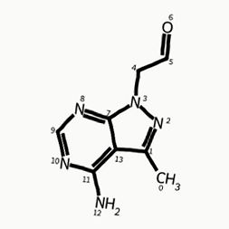 Cc1nn(CC=O)c2ncnc(N)c12